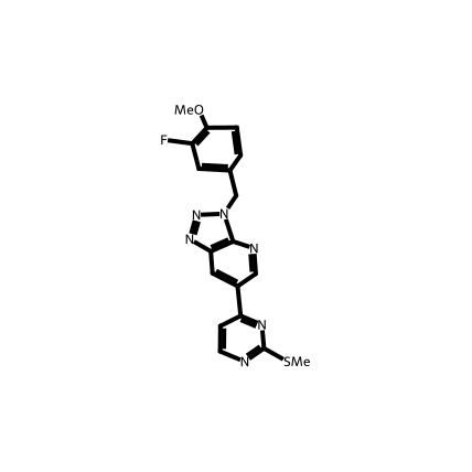 COc1ccc(Cn2nnc3cc(-c4ccnc(SC)n4)cnc32)cc1F